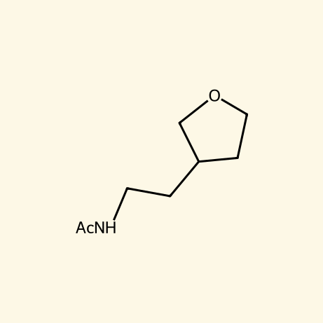 CC(=O)NCCC1CCOC1